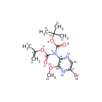 C=C(C)OC(=O)N(C(=O)OC(C)(C)C)c1ncc(Br)nc1OC